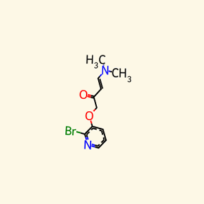 CN(C)C=CC(=O)COc1cccnc1Br